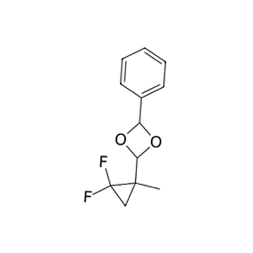 CC1(C2OC(c3ccccc3)O2)CC1(F)F